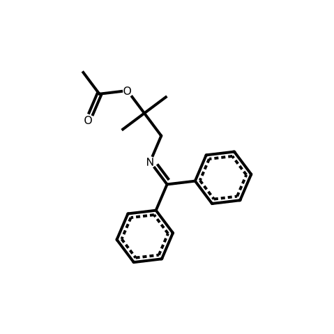 CC(=O)OC(C)(C)CN=C(c1ccccc1)c1ccccc1